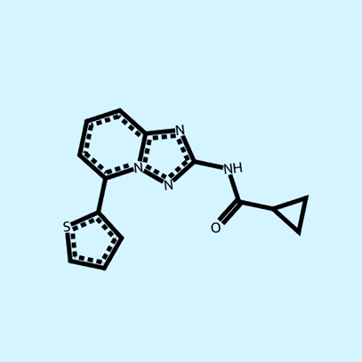 O=C(Nc1nc2cccc(-c3cccs3)n2n1)C1CC1